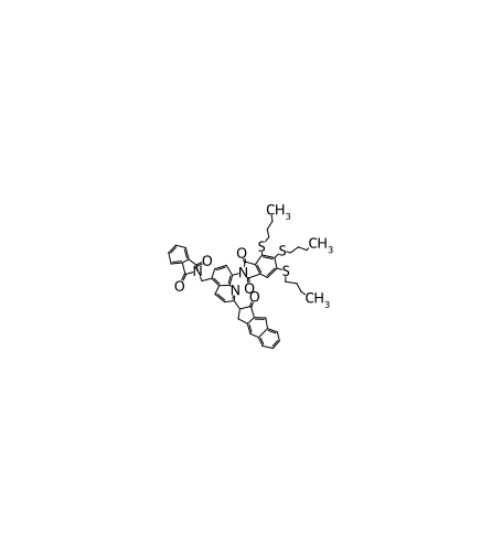 CCCCSc1cc2c(c(SCCCC)c1SCCCC)C(=O)N(c1ccc(CN3C(=O)c4ccccc4C3=O)c3ccc(C4Cc5cc6ccccc6cc5C4=O)nc13)C2=O